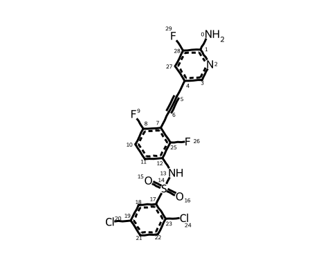 Nc1ncc(C#Cc2c(F)ccc(NS(=O)(=O)c3cc(Cl)ccc3Cl)c2F)cc1F